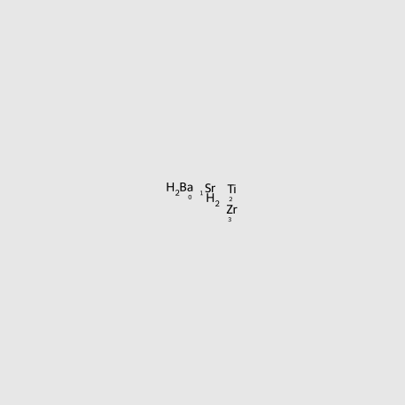 [BaH2].[SrH2].[Ti].[Zr]